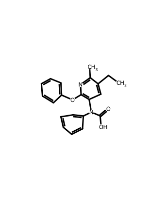 CCc1cc(N(C(=O)O)c2ccccc2)c(Oc2ccccc2)nc1C